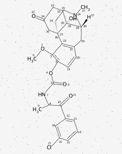 COc1c(OC(=O)NC(C)C(=O)c2cccc(Cl)c2)ccc2c1[C@]13CCN(C)[C@H](C2)[C@]1(O)CCC(=O)C3